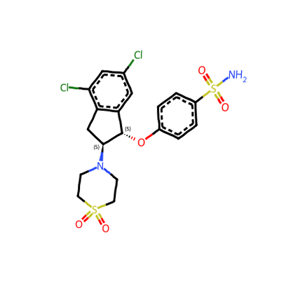 NS(=O)(=O)c1ccc(O[C@H]2c3cc(Cl)cc(Cl)c3C[C@@H]2N2CCS(=O)(=O)CC2)cc1